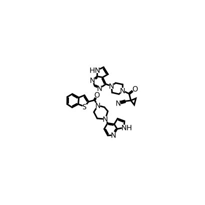 N#CC1(C(=O)N2CCN(c3ncnc4[nH]ccc34)CC2)CC1.O=C(c1cc2ccccc2s1)N1CCN(c2ccnc3[nH]ccc23)CC1